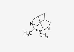 CC1=C(C)N2CC3CC4CN1CC43C2